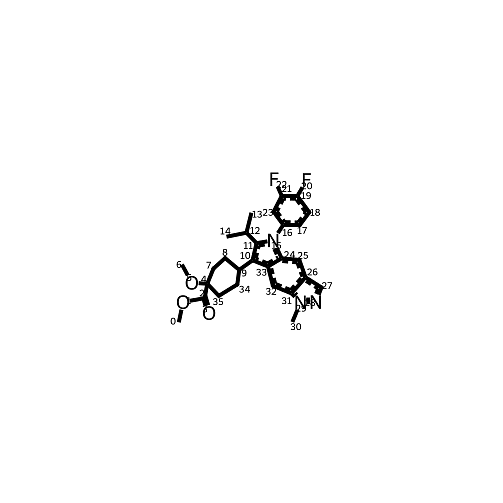 COC(=O)C1(OC)CCC(c2c(C(C)C)n(-c3ccc(F)c(F)c3)c3cc4cnn(C)c4cc23)CC1